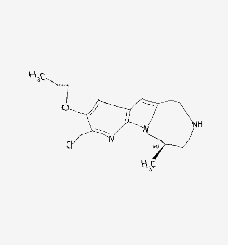 CCOc1cc2cc3n(c2nc1Cl)[C@H](C)CNC3